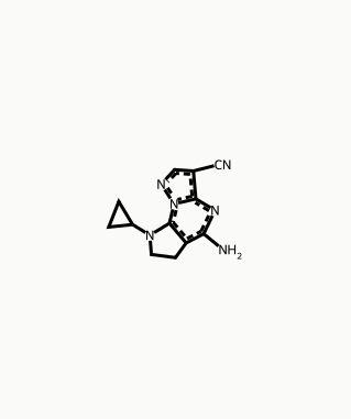 N#Cc1cnn2c3c(c(N)nc12)CCN3C1CC1